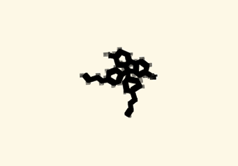 C=CCCc1ccc(C2(c3ccc(CCC=C)cc3)c3cc(Br)ccc3-c3ccc(I)cc32)cc1